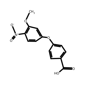 COc1cc(Oc2ccc(C(=O)O)cc2)ccc1[N+](=O)[O-]